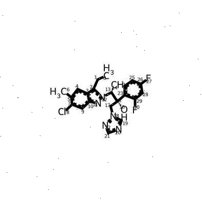 CCc1c2cc(C)c(Cl)cc2nn1[C@H](C)[C@](O)(Cn1cncn1)c1ccc(F)cc1F